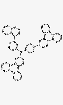 c1cc(-c2cccc3ccccc23)cc(N(c2ccc(-c3ccc4c5ccccc5c5ccccc5c4c3)cc2)c2ccc3c4ccccc4c4ccccc4c3c2)c1